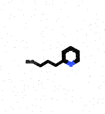 COCCCc1ccccn1